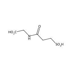 O=C(O)CNC(=O)CCS(=O)(=O)O